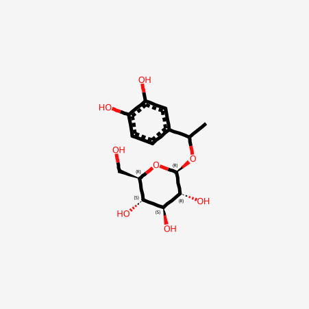 CC(O[C@@H]1O[C@H](CO)[C@@H](O)[C@H](O)[C@H]1O)c1ccc(O)c(O)c1